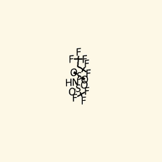 O=S(=O)(NS(=O)(=O)C(F)(F)CC(F)(F)F)C(F)(F)F